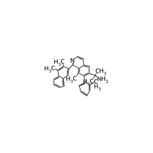 Cc1ccccc1-c1c(C(C)(C)N)cc2ccnc(-c3cc4ccccc4c(C)c3C)c2c1C